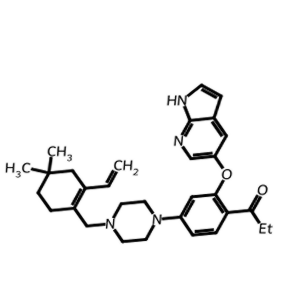 C=CC1=C(CN2CCN(c3ccc(C(=O)CC)c(Oc4cnc5[nH]ccc5c4)c3)CC2)CCC(C)(C)C1